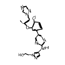 C[C@@H](Cn1cncn1)Oc1cc(-c2cnc(Nc3cnn(CCO)c3)nc2)ccc1Cl